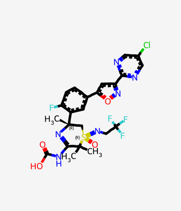 CC1(C)C(NC(=O)O)=N[C@](C)(c2cc(-c3cc(-c4ncc(Cl)cn4)no3)ccc2F)C[S@]1(=O)=NCC(F)(F)F